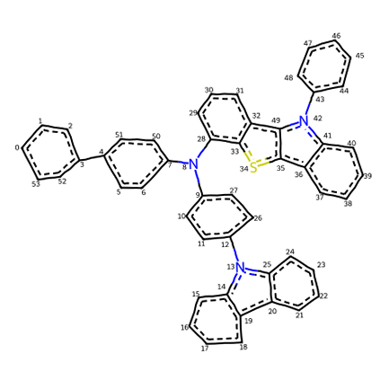 c1ccc(-c2ccc(N(c3ccc(-n4c5ccccc5c5ccccc54)cc3)c3cccc4c3sc3c5ccccc5n(-c5ccccc5)c43)cc2)cc1